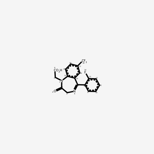 O=C(O)CN1C(=O)CN=C(c2ccccc2F)c2cc(C(F)(F)F)ccc21